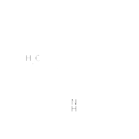 C=C1CNCc2ccccc21